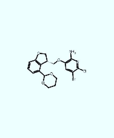 Nc1nc(Cl)c(Br)cc1OC[C@H]1COc2cccc(C3OCCCO3)c21